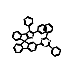 c1ccc(-c2nc(-c3ccccc3)nc(-c3ccc4c(c3)C3(c5ccccc5-4)c4ccccc4-c4c3sc(-c3ccccc3)c4-c3ccccc3)n2)cc1